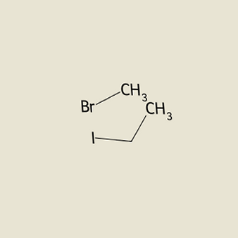 CBr.CCI